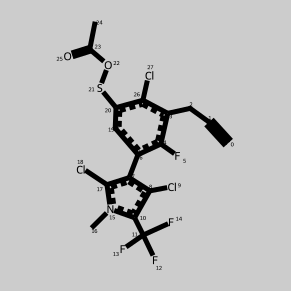 C#CCc1c(F)c(-c2c(Cl)c(C(F)(F)F)n(C)c2Cl)cc(SOC(C)=O)c1Cl